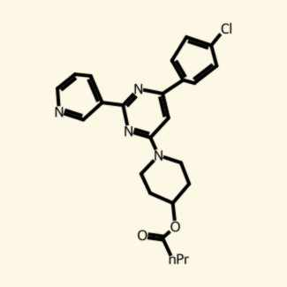 CCCC(=O)OC1CCN(c2cc(-c3ccc(Cl)cc3)nc(-c3cccnc3)n2)CC1